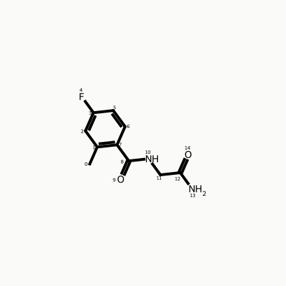 Cc1cc(F)ccc1C(=O)NCC(N)=O